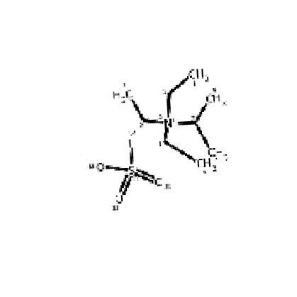 CC[N+](CC)(CC)C(C)C.O=S(=O)([O-])F